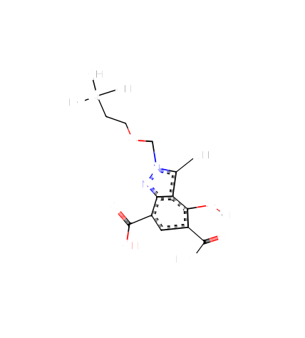 COc1c(C(C)=O)cc(C(=O)O)c2nn(COCC[Si](C)(C)C)c(C)c12